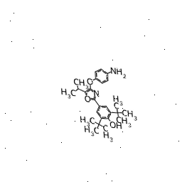 CC(C)c1oc(-c2cc(C(C)(C)C)c(O)c(C(C)(C)C)c2)nc1Oc1ccc(N)cc1